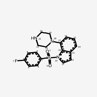 O=S(=O)(c1ccc(F)cc1)n1ccc2cccc(N3CCNCC3)c21